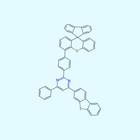 c1ccc(-c2cc(-c3ccc4c(c3)sc3ccccc34)nc(-c3ccc(-c4cccc5c4Sc4ccccc4C54c5ccccc5-c5ccccc54)cc3)n2)cc1